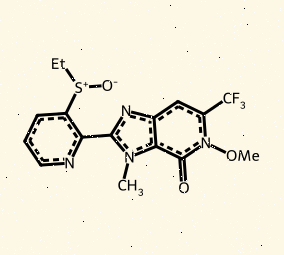 CC[S+]([O-])c1cccnc1-c1nc2cc(C(F)(F)F)n(OC)c(=O)c2n1C